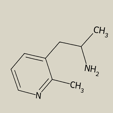 Cc1ncccc1CC(C)N